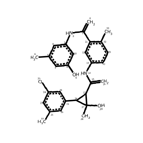 C=C(Nc1cc(C)cc(O)c1)c1cc(NC(=C)C2C(c3cc(C)cc(Cl)c3)C2(C)O)ccc1C